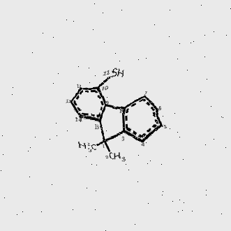 CC1(C)c2ccccc2-c2c(S)cccc21